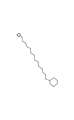 [O]CCCCCCCCCCCCCCC1CCCCC1